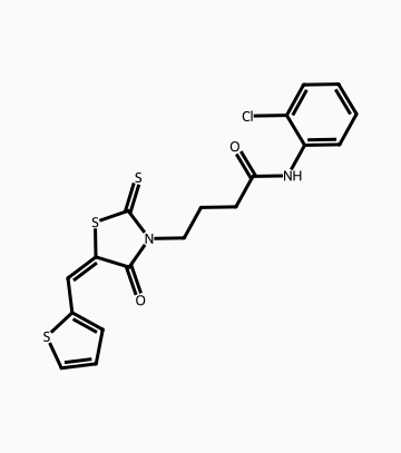 O=C(CCCN1C(=O)/C(=C\c2cccs2)SC1=S)Nc1ccccc1Cl